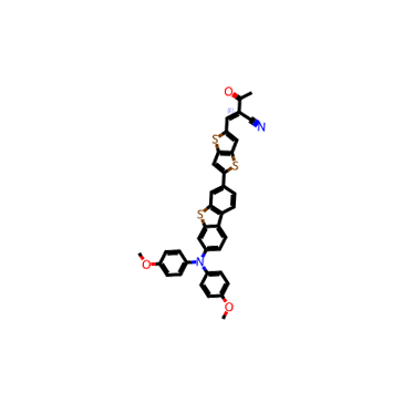 COc1ccc(N(c2ccc(OC)cc2)c2ccc3c(c2)sc2cc(-c4cc5sc(/C=C(\C#N)C(C)=O)cc5s4)ccc23)cc1